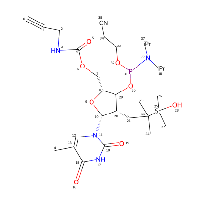 C#CCNC(=O)OC[C@H]1O[C@@H](n2cc(C)c(=O)[nH]c2=O)[C@@H](CC(C)(C)[Si](C)(C)O)C1OP(OCCC#N)N(C(C)C)C(C)C